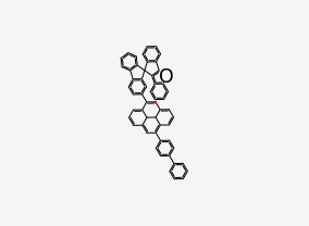 C1=CC2=CC(c3ccc(-c4ccccc4)cc3)=C3C=CC=C4C=C(c5ccc6c(c5)C5(c7ccccc7-6)c6ccccc6-c6oc7ccccc7c65)C(=C1)C2C43